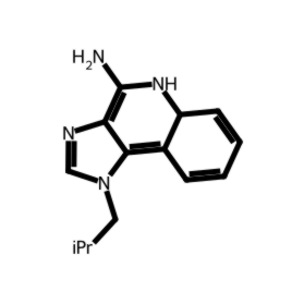 CC(C)Cn1cnc2c1=C1C=CC=CC1NC=2N